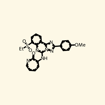 CCS(=O)(=O)c1cccc2c1nc(Nc1ccccnc1=O)n1nc(-c3ccc(OC)cc3)nc21